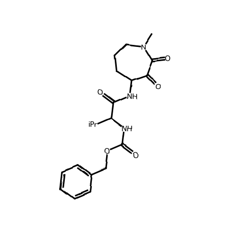 CC(C)C(NC(=O)OCc1ccccc1)C(=O)NC1CCCN(C)C(=O)C1=O